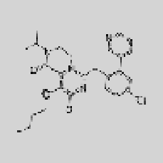 CCCCOc1c2n(c(Cc3ccc(Cl)cc3-c3cccnc3)nc1=O)CCN(C(C)C)C2=O